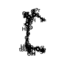 CCCOc1cc(OCCCCN(C)C)cc(Oc2cc3c(cc2NS(=O)(=O)c2cccc(C(=O)NCCOCCOCCOCC(=O)N[C@H](C(=O)N4C[C@H](O)C[C@H]4C(=O)NCc4ccc(-c5scnc5C)cc4)C(C)(C)C)c2)n(C)c(=O)n3C)c1